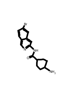 NC1CCC(C(=O)Nc2cc3cc(Br)ccc3cn2)CC1